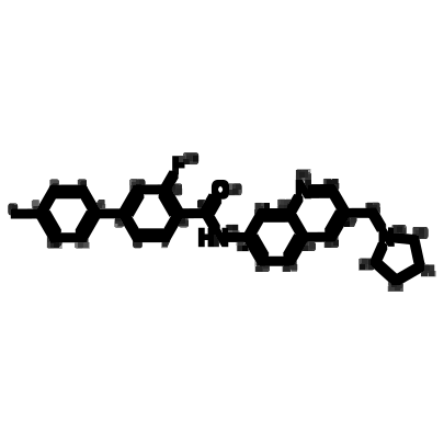 Cc1ccc(-c2ccc(C(=O)Nc3ccc4cc(CN5CCCC5)cnc4c3)c(F)c2)cc1